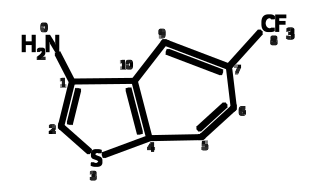 Nc1csc2ccc(C(F)(F)F)cc12